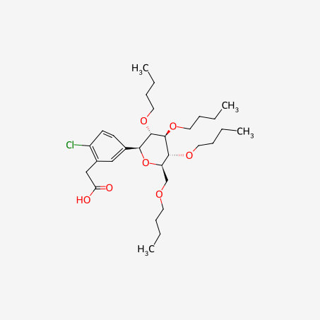 CCCCOC[C@H]1O[C@@H](c2ccc(Cl)c(CC(=O)O)c2)[C@H](OCCCC)[C@@H](OCCCC)[C@@H]1OCCCC